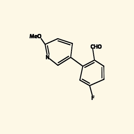 COc1ccc(-c2cc(F)ccc2C=O)cn1